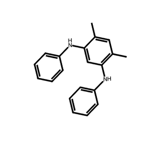 Cc1cc(C)c(Nc2ccccc2)cc1Nc1ccccc1